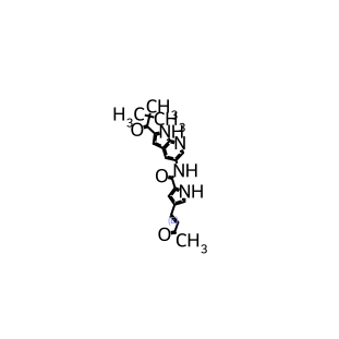 CC(=O)/C=C/c1c[nH]c(C(=O)Nc2cnc3[nH]c(C(=O)C(C)(C)C)cc3c2)c1